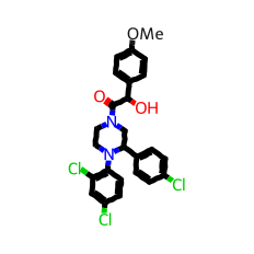 COc1ccc(C(O)C(=O)N2CCN(c3ccc(Cl)cc3Cl)C(c3ccc(Cl)cc3)C2)cc1